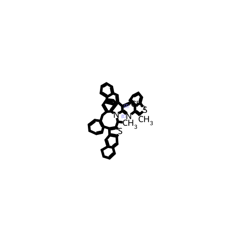 C/C=C(\C(=N/c1c(C)sc2ccccc12)N1c2ccccc2CC2=C(C=CCC=C2)c2c(sc3cc4c(cc23)CCC=C4)C1C)c1ccc2ccccc2c1